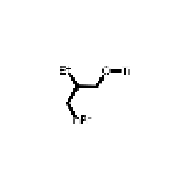 CCCCC(CC)C[O][Ti]